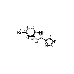 Brc1ccc2[nH]c(-c3cnc[nH]3)cc2c1